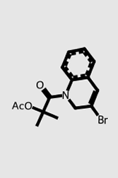 CC(=O)OC(C)(C)C(=O)N1CC(Br)=Cc2ccccc21